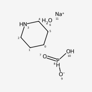 C1CCNCC1.O.O=[PH]([O-])O.[Na+]